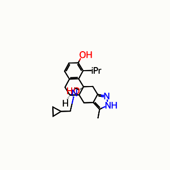 Cc1[nH]nc2c1C[C@@]1(O)[C@H]3Cc4ccc(O)c(C(C)C)c4[C@@]1(CCN3CC1CC1)C2